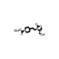 CC(C)(C)OC(=O)N1CCC(CCN2C(=O)OC[C@H]2CO)CC1